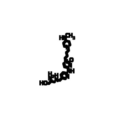 CNC1CCN(CCCCn2ccc(Nc3ccc(CNC[C@@H](N)CO)cn3)nc2=O)CC1